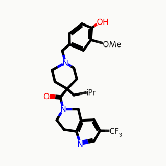 COc1cc(CN2CCC(CC(C)C)(C(=O)N3CCc4ncc(C(F)(F)F)cc4C3)CC2)ccc1O